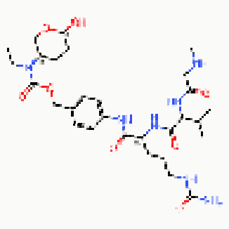 CCN(C(=O)OCc1ccc(NC(=O)[C@H](CCCNC(N)=O)NC(=O)C(NC(=O)CNC)C(C)C)cc1)[C@@H]1CC[C@H](O)OC1